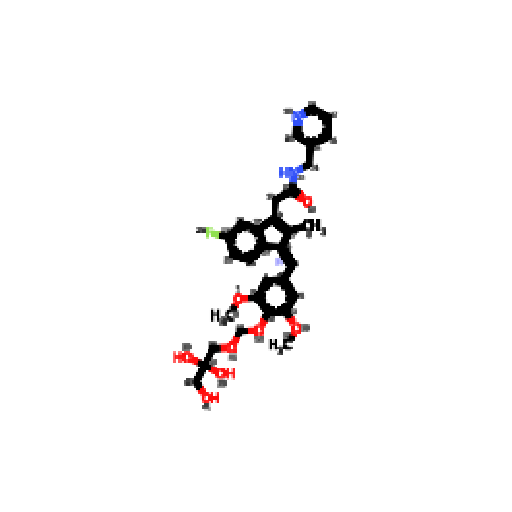 COc1cc(/C=C2/C(C)=C(CC(=O)NCc3cccnc3)c3cc(F)ccc32)cc(OC)c1OCOCC(O)(O)CO